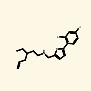 C=CCC(CC)CCNCc1ccc(-c2ccc(Cl)cc2Cl)o1